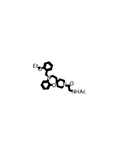 CCOc1ccccc1CN1CCC2(CCN(C(=O)CNC(C)=O)CC2)Oc2ccccc21